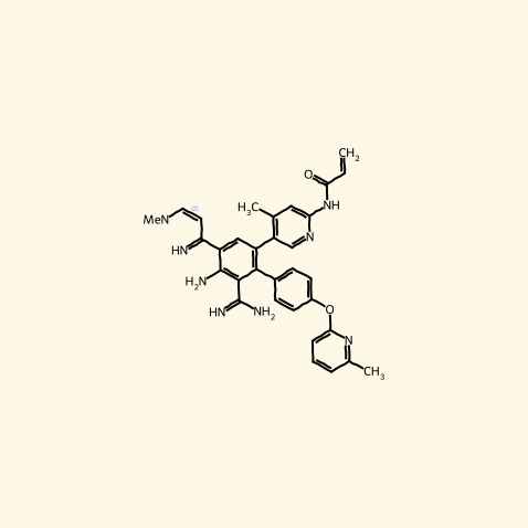 C=CC(=O)Nc1cc(C)c(-c2cc(C(=N)/C=C\NC)c(N)c(C(=N)N)c2-c2ccc(Oc3cccc(C)n3)cc2)cn1